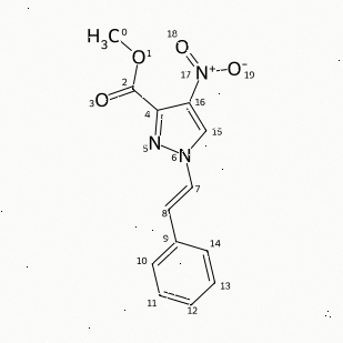 COC(=O)c1nn(C=Cc2ccccc2)cc1[N+](=O)[O-]